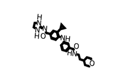 O=C(N=C1NCCN1)c1ccc(Nc2cccc(C(=O)NCCC3CCOCC3)c2)c(C2CC2)c1